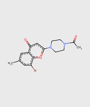 CC(=O)N1CCN(c2cc(=O)c3cc(C)cc(Br)c3o2)CC1